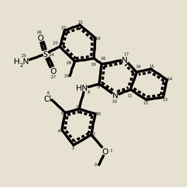 COc1ccc(Cl)c(Nc2nc3ccccc3nc2-c2cccc(S(N)(=O)=O)c2C)c1